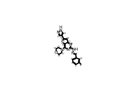 Cc1cccc(/C=N/Nc2nc(N3CCOCC3)c3sc(-c4cn[nH]c4)cc3n2)c1